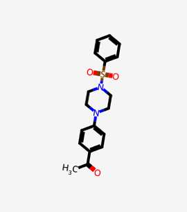 CC(=O)c1ccc(N2CCN(S(=O)(=O)c3ccccc3)CC2)cc1